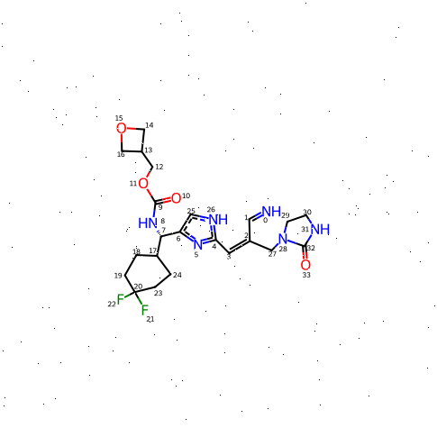 N=C/C(=C\c1nc([C@@H](NC(=O)OCC2COC2)C2CCC(F)(F)CC2)c[nH]1)CN1CCNC1=O